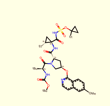 CC[C@@H]1C[C@]1(NC(=O)[C@@H]1C[C@@H](Oc2nccc3cc(OC)ccc23)CN1C(=O)[C@@H](NC(=O)OC(C)(C)C)C(C)(C)C)C(=O)NS(=O)(=O)OC1(CC)CC1